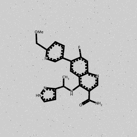 COCc1ccc(-c2cc3c(NC(C)c4cc[nH]n4)c(C(N)=O)cnc3cc2F)cn1